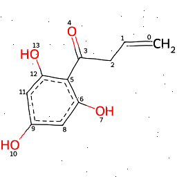 C=CCC(=O)c1c(O)cc(O)cc1O